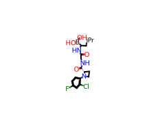 CC(C)CC(NC(=O)CNC(=O)[C@@H]1CCN1c1ccc(F)cc1Cl)B(O)O